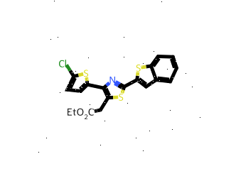 CCOC(=O)Cc1sc(-c2cc3ccccc3s2)nc1-c1ccc(Cl)s1